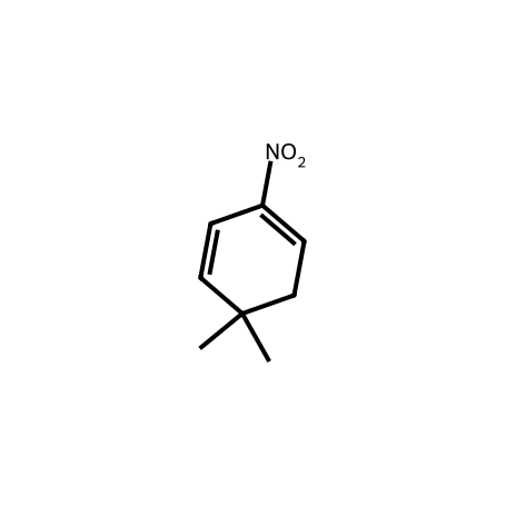 CC1(C)C=CC([N+](=O)[O-])=CC1